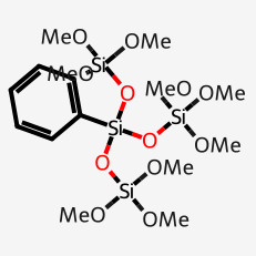 CO[Si](OC)(OC)O[Si](O[Si](OC)(OC)OC)(O[Si](OC)(OC)OC)c1ccccc1